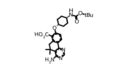 CC(C)(C)OC(=O)N[C@H]1CC[C@H](Oc2ccc3c(c2C(=O)O)CC(C)(C)c2c(N)ncnc2-3)CC1